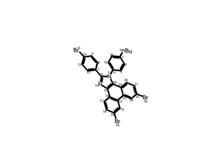 CCCCc1ccc(-n2c(-c3ccc(Br)cc3)nc3c4ccc(Br)cc4c4cc(Br)ccc4c32)cc1